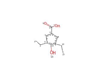 CCc1cc(C(=O)O)cc(CC)c1O